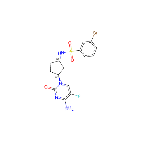 Nc1nc(=O)n([C@H]2CC[C@H](NS(=O)(=O)c3cccc(Br)c3)C2)cc1F